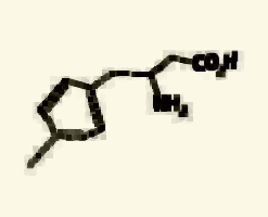 Cc1ccc(CC(N)CC(=O)O)cc1